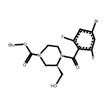 CC(C)(C)OC(=O)N1CCN(C(=O)c2c(F)cc(Br)cc2F)[C@@H](CO)C1